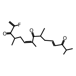 C=C(F)C(=O)C(C)CC=C(C)C(=O)C(C)CC=CC(=O)C(C)C